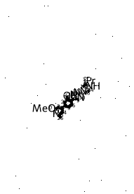 COc1cc(-c2ccc(-c3cnc(N4CCN[C@@H](C(C)C)C4)nn3)c(O)c2)cc(C)n1